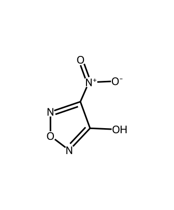 O=[N+]([O-])c1nonc1O